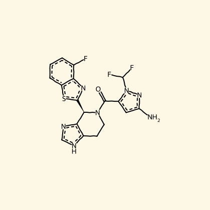 Nc1cc(C(=O)N2CCc3[nH]cnc3[C@H]2c2nc3c(F)cccc3s2)n(C(F)F)n1